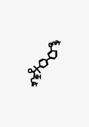 CCCOc1cccc(-c2ccc(C(C)(C)C(=O)NCC(C)C)cc2)c1